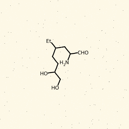 CCC(CCC(O)CO)CC(N)C=O